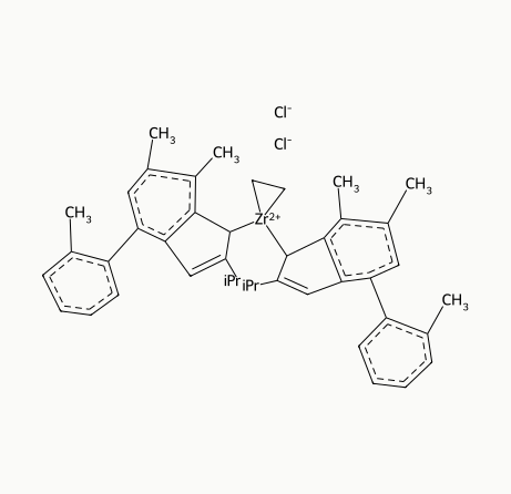 Cc1ccccc1-c1cc(C)c(C)c2c1C=C(C(C)C)[CH]2[Zr+2]1([CH]2C(C(C)C)=Cc3c(-c4ccccc4C)cc(C)c(C)c32)[CH2][CH2]1.[Cl-].[Cl-]